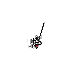 CCCCCCCCCCCCc1cccc(OCC)c1C1C(C(=O)O)=C(C)NC(=S)N1C(=O)O